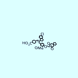 COc1cc(CN(CC2CCC(C(=O)O)CC2)C2CCc3cc(Cl)ccc32)ccc1OCCN1C(=O)CC2(CCCC2)CC1=O